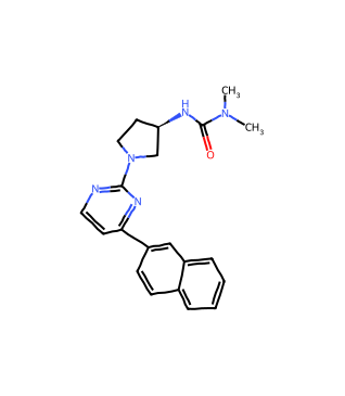 CN(C)C(=O)N[C@@H]1CCN(c2nccc(-c3ccc4ccccc4c3)n2)C1